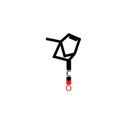 CC12C=CC(C1)C(=C=O)C2